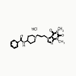 Cl.Cn1c(=O)c2c(ncn2CCCN2CCC(NC(=O)c3ccccc3)CC2)n(C)c1=O